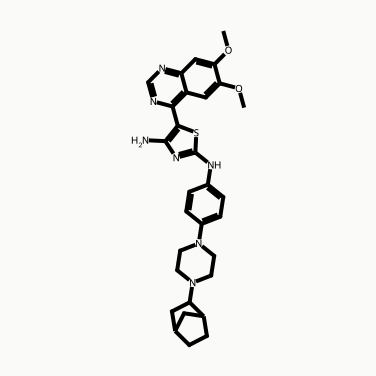 COc1cc2ncnc(-c3sc(Nc4ccc(N5CCN(C6CC7CCC6C7)CC5)cc4)nc3N)c2cc1OC